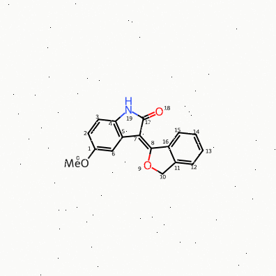 COc1ccc2c(c1)C(=C1OCc3ccccc31)C(=O)N2